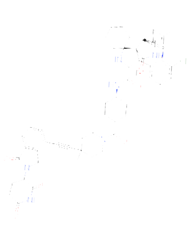 CC1(C#Cc2cccc3c2CN(C2CCC(=O)NC2=O)C3=O)CCN(C(=O)[C@H]2CC[C@H](NC(=O)[C@@H]3NC4(CCCCC4)[C@]45C(=O)Nc6cc(Cl)c(cc64)-c4c(Cl)cccc4[C@@H]35)CC2)CC1